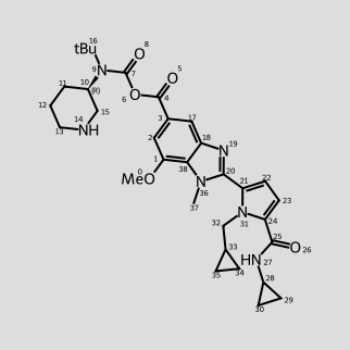 COc1cc(C(=O)OC(=O)N([C@@H]2CCCNC2)C(C)(C)C)cc2nc(-c3ccc(C(=O)NC4CC4)n3CC3CC3)n(C)c12